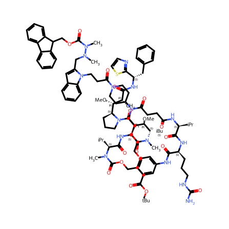 CC[C@H](C)[C@@H]([C@@H](CC(=O)N1CCC[C@H]1[C@H](OC)[C@@H](C)C(=O)N[C@@H](Cc1ccccc1)c1nccs1)OC)N(C)C(=O)[C@@H](NC(=O)[C@H](C(C)C)N(C)C(=O)OCc1ccc(NC(=O)[C@H](CCCNC(N)=O)NC(=O)[C@@H](NC(=O)CCC(=O)N(CCOCCOCCC(=O)OC(C)(C)C)C2CCN(C(=O)CCn3c(CN(C)N(C)C(=O)OCC4c5ccccc5-c5ccccc54)cc4ccccc43)CC2)C(C)C)cc1)C(C)C